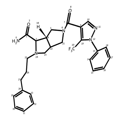 NC(=O)C1[C@@H]2CN(C(=O)c3cnn(-c4ccccc4)c3C(F)(F)F)CC2CN1CC[CH]c1ccccc1